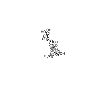 C=C(ON=C(C(=O)N[C@@H]1C(=O)N2C(C(=O)O)=C(CSc3nc(C(=O)O)c(-c4ccc(O)c(O)c4)s3)CS[C@@H]12)c1csc(N)n1)C(=O)O